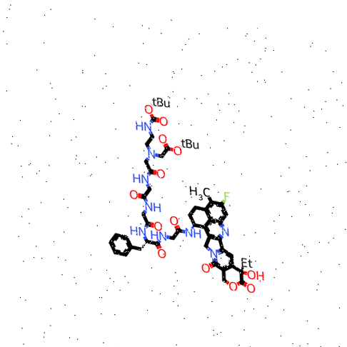 CC[C@@]1(O)C(=O)OCc2c1cc1n(c2=O)Cc2c-1nc1cc(F)c(C)c3c1c2[C@@H](NC(=O)CNC(=O)[C@H](Cc1ccccc1)NC(=O)CNC(=O)CNC(=O)CN(CCNC(=O)OC(C)(C)C)CC(=O)OC(C)(C)C)CC3